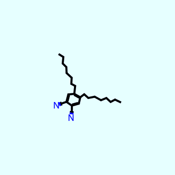 CCCCCCCCc1cc(C#N)c(C#N)cc1CCCCCCCC